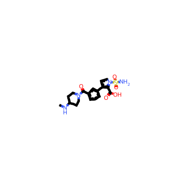 CNC1CCN(C(=O)c2cccc(-c3ccn(S(N)(=O)=O)c3C(=O)O)c2)CC1